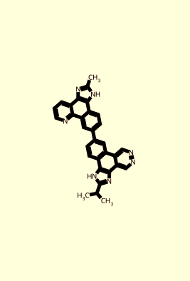 Cc1nc2c3cccnc3c3cc(-c4ccc5c(c4)c4cnncc4c4nc(C(C)C)[nH]c54)ccc3c2[nH]1